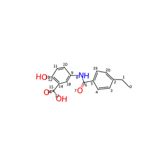 CCc1ccc(C(=O)Nc2ccc(O)c(C(=O)O)c2)cc1